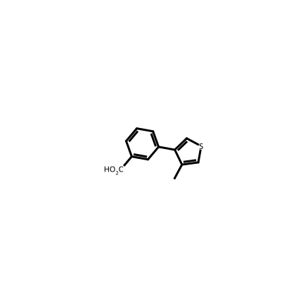 Cc1cscc1-c1cccc(C(=O)O)c1